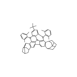 Cc1cccc(C)c1B1c2cc(C(C)(C)C)cc3c2-n2c4c1c1c(cc4c4cc5c(c(c42)B3c2c(C)cccc2C)C2CC3CC4CC5CC43C2)C2CC3CC(C2)CC1C3